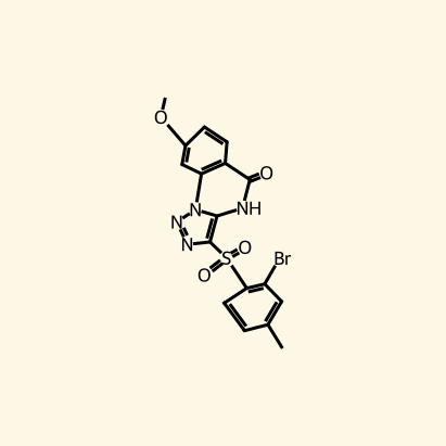 COc1ccc2c(=O)[nH]c3c(S(=O)(=O)c4ccc(C)cc4Br)nnn3c2c1